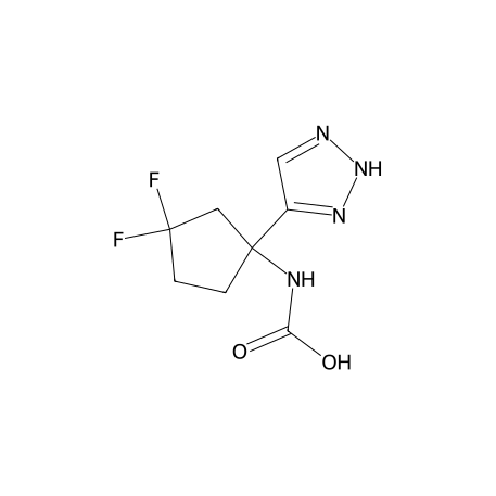 O=C(O)NC1(c2cn[nH]n2)CCC(F)(F)C1